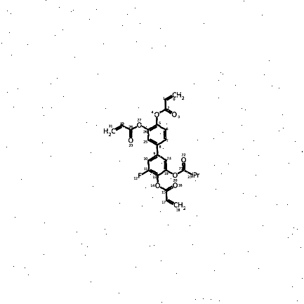 C=CC(=O)Oc1ccc(-c2cc(F)c(OC(=O)C=C)c(OC(=O)C(C)C)c2)cc1OC(=O)C=C